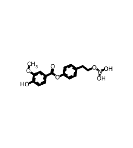 COc1cc(C(=O)Oc2ccc(CCON(O)O)cc2)ccc1O